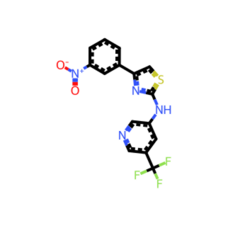 O=[N+]([O-])c1cccc(-c2csc(Nc3cncc(C(F)(F)F)c3)n2)c1